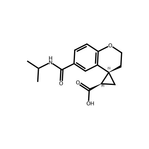 CC(C)NC(=O)c1ccc2c(c1)[C@]1(CCO2)C[C@H]1C(=O)O